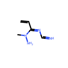 C=C/C(=N/C=N)N(C)N